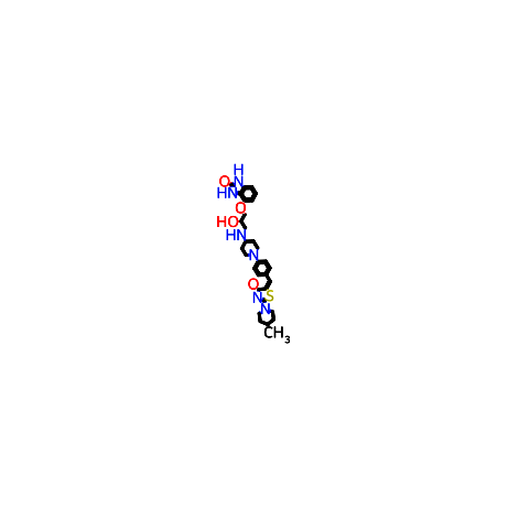 CC1CCN(C2=NC(=O)C(=Cc3ccc(N4CCC(NC[C@H](O)COc5cccc6[nH]c(=O)[nH]c56)CC4)cc3)S2)CC1